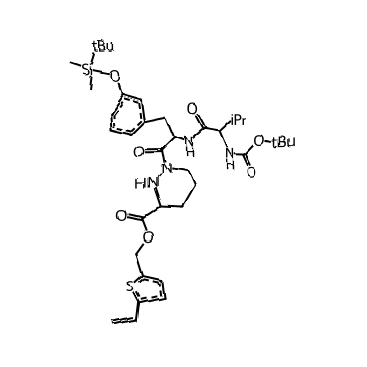 C=Cc1ccc(COC(=O)C2CCCN(C(=O)C(Cc3cccc(O[Si](C)(C)C(C)(C)C)c3)NC(=O)C(NC(=O)OC(C)(C)C)C(C)C)N2)s1